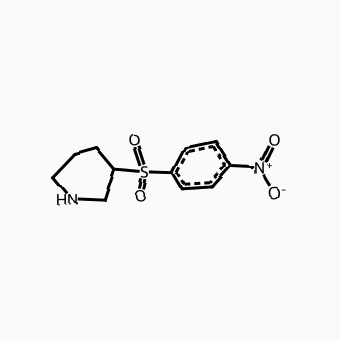 O=[N+]([O-])c1ccc(S(=O)(=O)C2CCCNC2)cc1